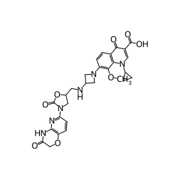 COc1c(N2CC(NCC3CN(c4ccc5c(n4)NC(=O)CO5)C(=O)O3)C2)ccc2c(=O)c(C(=O)O)cn(C3CC3)c12